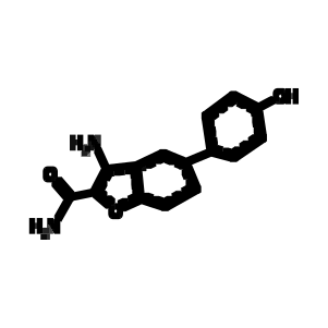 NC(=O)c1oc2ccc(-c3ccc(O)cc3)cc2c1N